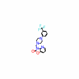 O=c1oc2cccnc2n1CN1CCN(c2cccc(C(F)(F)F)c2)CC1